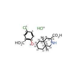 Cl.O=C(O)c1cc(Cl)ccc1O[C@H]1CC[C@H]2CN[C@H](C(=O)O)C[C@H]2C1